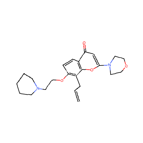 C=CCc1c(OCCN2CCCCC2)ccc2c(=O)cc(N3CCOCC3)oc12